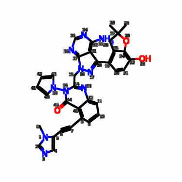 Cn1cncc1C#Cc1cccc2nc(Cn3nc(-c4ccc(O)c5c4CC(C)(C)O5)c4c(N)ncnc43)n(-n3cccc3)c(=O)c12